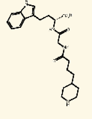 O=C(CCCC1CCNCC1)NCC(=O)N[C@H](CCc1c[nH]c2ccccc12)C(=O)O